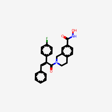 O=C(NO)c1ccc2c(c1)CN(C(=O)/C(=C\c1ccccc1)c1ccc(F)cc1)CC2